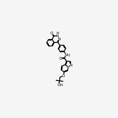 CC(C)(O)COc1ccc2c(C(=O)Nc3ccc(-c4n[nH]c(=O)c5ccccc45)cc3)cnn2c1